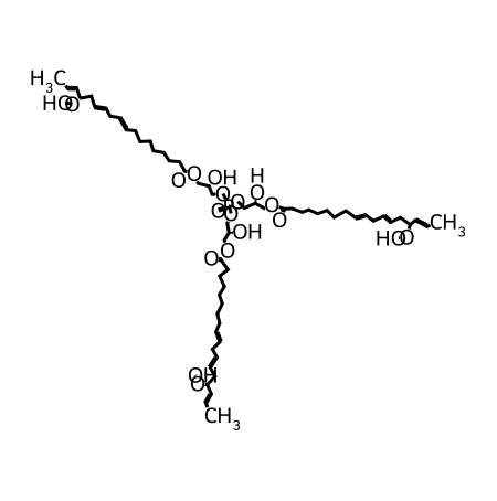 C/C=C/C(C/C=C/C/C=C/CCCCCCCC(=O)OC[C@H](O)COP(=O)(OC[C@@H](O)COC(=O)CCCCCCC/C=C/C/C=C/CC(/C=C/C)OO)OC[C@@H](O)COC(=O)CCCCCCC/C=C/C/C=C/CC(/C=C/C)OO)OO